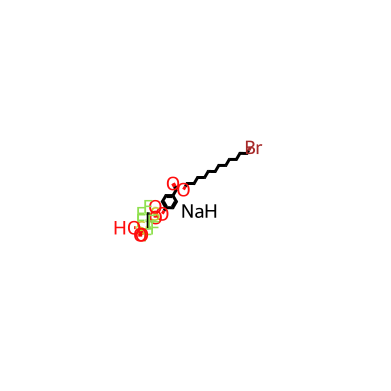 O=C(OCCCCCCCCCCCCBr)c1ccc(OS(=O)(=O)C(F)(F)C(F)(F)C(F)(F)S(=O)(=O)O)cc1.[NaH]